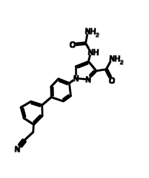 N#CCc1cccc(-c2ccc(-n3cc(NC(N)=O)c(C(N)=O)n3)cc2)c1